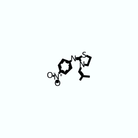 CC(C)=CN1CCSC1=Nc1ccc([N+](=O)[O-])cc1